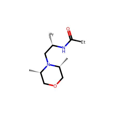 CCC(=O)N[C@H](CN1[C@H](C)COC[C@@H]1C)C(C)C